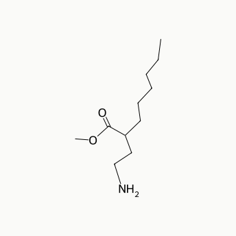 CCCCCCC(CCN)C(=O)OC